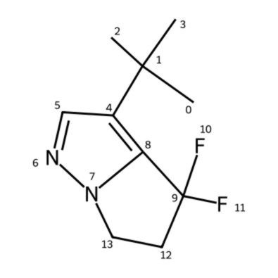 CC(C)(C)c1cnn2c1C(F)(F)CC2